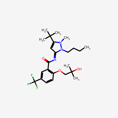 CCCCn1/c(=N/C(=O)c2cc(C(F)(F)F)ccc2OCC(C)(C)O)cc(C(C)(C)C)n1C